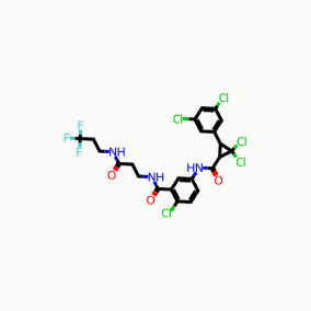 O=C(CCNC(=O)c1cc(NC(=O)C2C(c3cc(Cl)cc(Cl)c3)C2(Cl)Cl)ccc1Cl)NCCC(F)(F)F